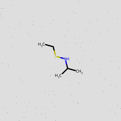 CCSNC(C)C